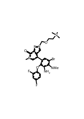 CNc1c(Br)cc(-c2cn(C)c(=O)c3nn(COCC[Si](C)(C)C)cc23)c(Oc2ccc(F)cc2F)c1N